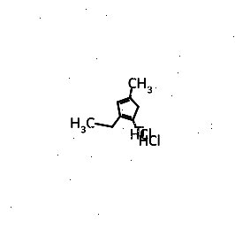 CCC1=[C]([Ti])CC(C)=C1.Cl.Cl